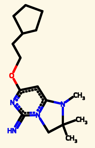 CN1c2cc(OCCC3CCCC3)nc(=N)n2CC1(C)C